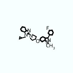 Cn1nc(-c2cccc(F)c2)c2ccc(OC3CCN(c4nc5ccccc5n4CC4CC4)CC3)cc21